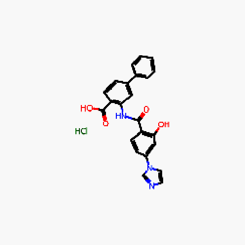 Cl.O=C(Nc1cc(-c2ccccc2)ccc1C(=O)O)c1ccc(-n2ccnc2)cc1O